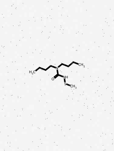 CCCCN(CCCC)C(=O)NSC